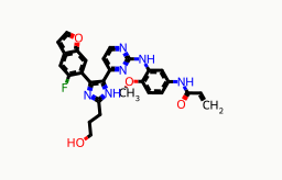 C=CC(=O)Nc1ccc(OC)c(Nc2nccc(-c3[nH]c(CCCO)nc3-c3cc4occc4cc3F)n2)c1